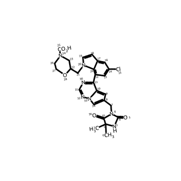 CC1(C)NC(=O)N(Cc2cc3c(-c4cc(Cl)cc5ccn(CC6CN(C(=O)O)CCO6)c45)ncnn3c2)C1=O